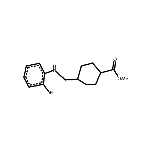 COC(=O)C1CCC(CNc2ccccc2C(C)C)CC1